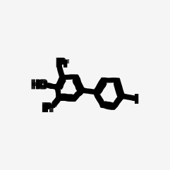 CC(C)c1cc(-c2ccc(I)cc2)cc(C(C)C)c1O